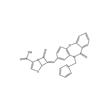 O=C(O)C1=CSC2C(=Cc3ccc4c(c3)N(Cc3ccccc3)C(=O)c3ccccc3O4)C(=O)N12